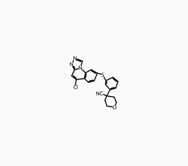 N#CC1(c2cccc(Sc3ccc4c(Cl)cc5nncn5c4c3)c2)CCOCC1